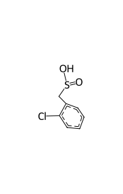 O=S(O)Cc1ccccc1Cl